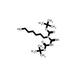 CC(C)(C)OC(=O)NC(=N)N(CCCCCCO)C(=O)OC(C)(C)C